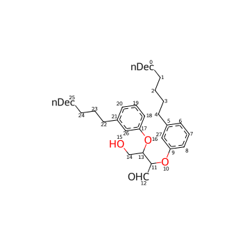 CCCCCCCCCCCCCCc1cccc(OC(C=O)C(CO)Oc2cccc(CCCCCCCCCCCCC)c2)c1